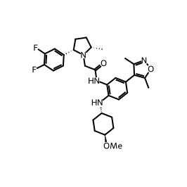 CO[C@H]1CC[C@H](Nc2ccc(-c3c(C)noc3C)cc2NC(=O)CN2[C@@H](C)CC[C@H]2c2ccc(F)c(F)c2)CC1